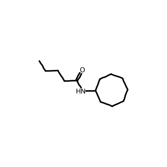 CCCCC(=O)NC1CCCCCCC1